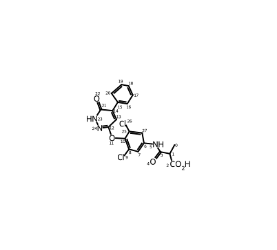 CC(C(=O)O)C(=O)Nc1cc(Cl)c(Oc2cc(-c3ccccc3)c(=O)[nH]n2)c(Cl)c1